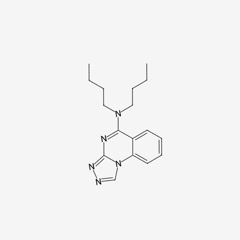 CCCCN(CCCC)c1nc2nncn2c2ccccc12